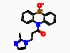 Cc1nccn1CCC(=O)N1c2ccccc2[S+]([O-])c2ccccc21